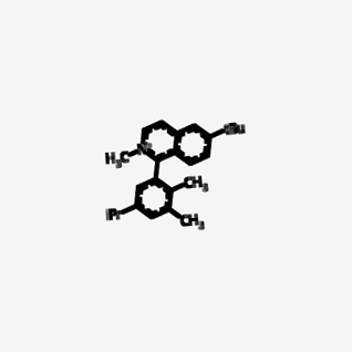 Cc1cc(C(C)C)cc(-c2c3ccc(C(C)(C)C)cc3cc[n+]2C)c1C